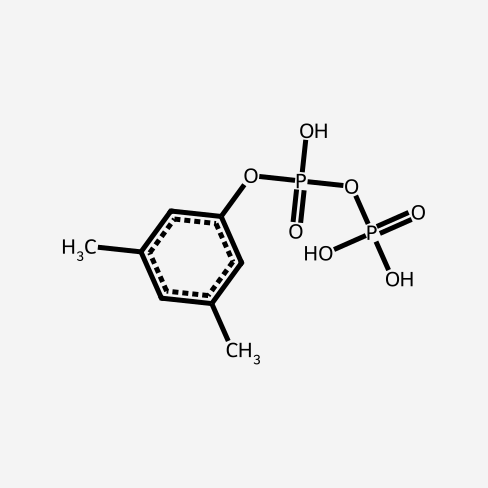 Cc1cc(C)cc(OP(=O)(O)OP(=O)(O)O)c1